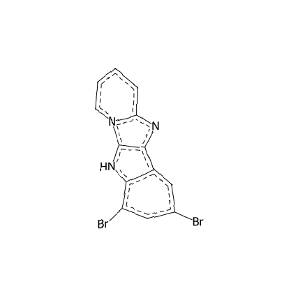 Brc1cc(Br)c2[nH]c3c(nc4ccccn43)c2c1